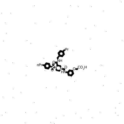 CCCc1ccc(S(=O)(=O)N2CCN(C(=O)Nc3cccc(OCC(=O)O)c3)CC2C(=O)NCc2ccc(C(C)C)cc2)cc1